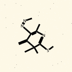 C=C1C(/N=N\C)=C(C)N=C(SC)C1(C)C